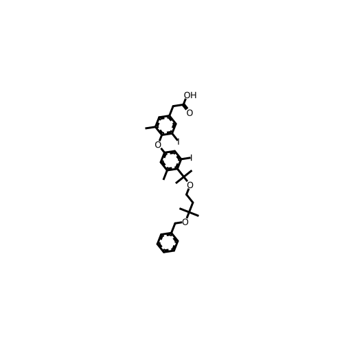 Cc1cc(CC(=O)O)cc(I)c1Oc1cc(C)c(C(C)(C)OCCC(C)(C)OCc2ccccc2)c(I)c1